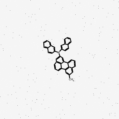 Cc1cc2cccc3c4cc(N(c5ccc6ccccc6c5)c5ccc6ccccc6c5)cc5cccc(c(c1)c23)c54